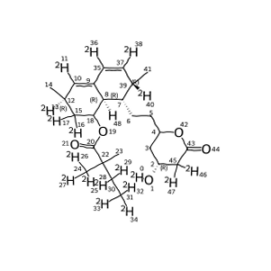 [2H]O[C@@H]1CC(CC[C@@H]2[C@@H]3C(=C([2H])[C@]([2H])(C)C([2H])([2H])C3OC(=O)C(C)(C([2H])([2H])[2H])C([2H])([2H])C([2H])([2H])[2H])C([2H])=C([2H])[C@]2([2H])C)OC(=O)C1([2H])[2H]